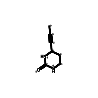 CC#CC1CCNC(=O)N1